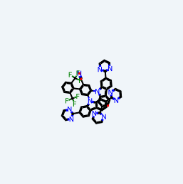 N#Cc1cc(-n2c3cc(-c4ncccn4)ccc3c3ccc(-c4ncccn4)cc32)c(-n2c3cc(-c4ncccn4)ccc3c3ccc(-c4ncccn4)cc32)cc1-c1c(C(F)(F)F)cccc1C(F)(F)F